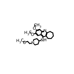 COCCN1CCC(Nc2c3c(nc4cc(OC)c(OC)cc24)CCCCC3)CC1